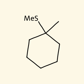 CSC1(C)CCCCC1